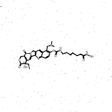 CC[C@@]1(O)C(=O)OCc2c1cc1n(c2=O)Cc2cc3c(CN(C)C)c(OC(=O)NCCCCCCC(=O)NO)ccc3nc2-1